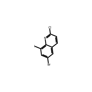 Clc1ccc2cc(Br)cc(I)c2n1